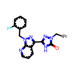 CC(C)Cn1nc(-c2nn(Cc3ccccc3F)c3ncccc23)[nH]c1=O